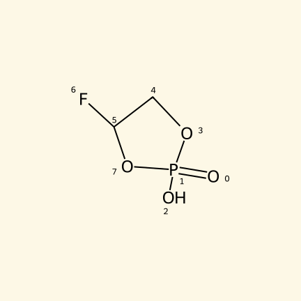 O=P1(O)OCC(F)O1